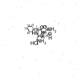 Cl.NCC(=O)N[C@@H](Cc1ccccc1)C(=O)N[C@@H](CO)C(N)=O